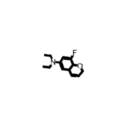 CCN(CC)C1=CC2C=CCOC2C(F)=C1